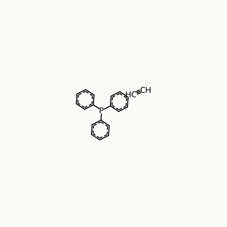 C#C.c1ccc(P(c2ccccc2)c2ccccc2)cc1